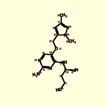 CCC[C@@H](CCO)Nc1nc(N)ncc1OCc1cc(C)nn1C